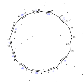 [C]1=C/C=C\C=C/C=C\C=C/C=C\C=C/C=C\C=C/C=C\C=C/CCCC\1